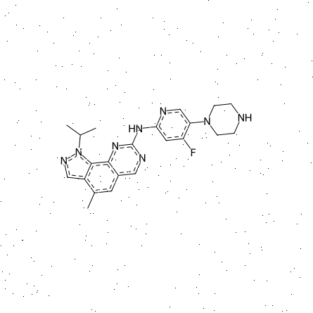 Cc1cc2cnc(Nc3cc(F)c(N4CCNCC4)cn3)nc2c2c1cnn2C(C)C